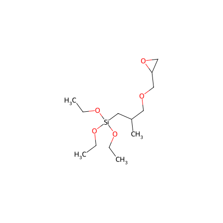 CCO[Si](CC(C)COCC1CO1)(OCC)OCC